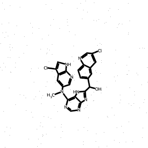 CN(c1cnc2[nH]cc(Cl)c2c1)c1ncnc2nc(C(O)c3ccc4ncc(Cl)cc4c3)[nH]c12